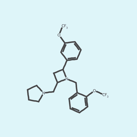 FC(F)(F)Oc1cccc(C2CC(CN3CCCC3)N2Cc2ccccc2OC(F)(F)F)c1